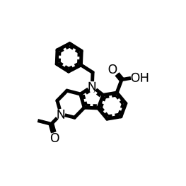 CC(=O)N1CCc2c(c3cccc(C(=O)O)c3n2Cc2ccccc2)C1